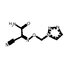 N#CC(=NOCn1ccnn1)C(N)=O